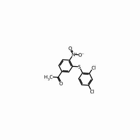 CC(=O)c1ccc([N+](=O)[O-])c(Sc2ccc(Cl)cc2Cl)c1